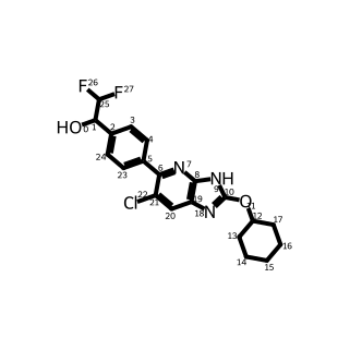 OC(c1ccc(-c2nc3[nH]c(OC4CCCCC4)nc3cc2Cl)cc1)C(F)F